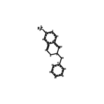 FC(F)(F)c1ccc2c(c1)=CCC(Cc1ccccc1)N=2